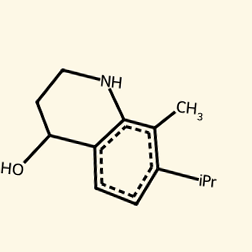 Cc1c(C(C)C)ccc2c1NCCC2O